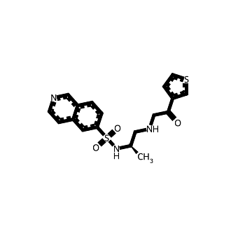 C[C@H](CNCC(=O)c1ccsc1)NS(=O)(=O)c1ccc2cnccc2c1